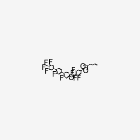 C=CCCC1COC(c2cc(F)c(C(F)(F)Oc3ccc(-c4ccc(-c5cc(F)c(C(F)F)c(F)c5)c(F)c4)c(F)c3)c(F)c2)OC1